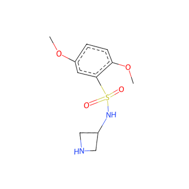 COc1ccc(OC)c(S(=O)(=O)NC2CNC2)c1